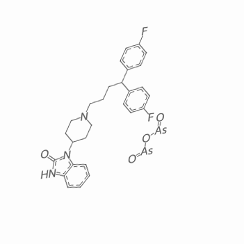 O=[As]O[As]=O.O=c1[nH]c2ccccc2n1C1CCN(CCCC(c2ccc(F)cc2)c2ccc(F)cc2)CC1